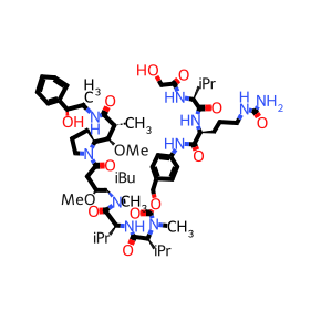 CC[C@H](C)[C@H]([C@@H](CC(=O)N1CCC[C@H]1[C@H](OC)[C@@H](C)C(=O)N[C@H](C)[C@@H](O)c1ccccc1)OC)N(C)C(=O)[C@@H](NC(=O)[C@H](C(C)C)N(C)C(=O)OCc1ccc(NC(=O)[C@H](CCCNC(N)=O)NC(=O)[C@@H](NC(=O)CO)C(C)C)cc1)C(C)C